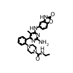 CCNC(=O)N1CCN(c2ccccc2-c2nc(N)nc(Nc3ccc4oc(=O)[nH]c4c3)c2C)CC1